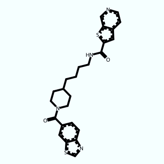 O=C(NCCCCC1CCN(C(=O)c2ccc3ncsc3c2)CC1)c1cc2ccncc2s1